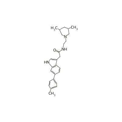 Cc1ccc(-c2ccc3c(CC(=O)NCCN4CC(C)CC(C)C4)c[nH]c3c2)cc1